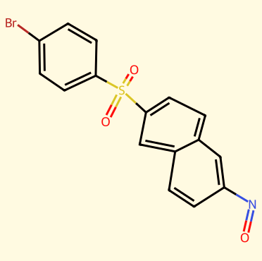 O=Nc1ccc2cc(S(=O)(=O)c3ccc(Br)cc3)ccc2c1